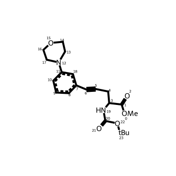 COC(=O)C(CC#Cc1cccc(N2CCOCC2)c1)NC(=O)OC(C)(C)C